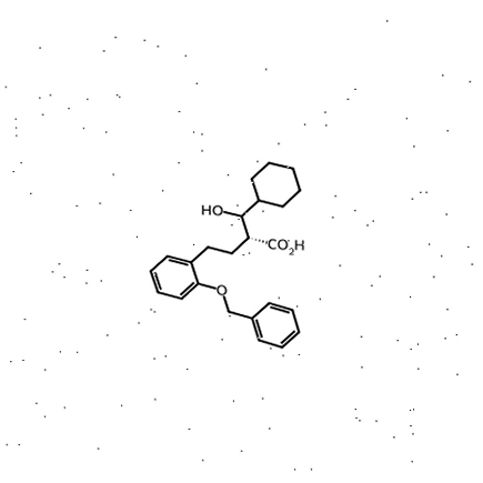 O=C(O)[C@H](CCc1ccccc1OCc1ccccc1)C(O)C1CCCCC1